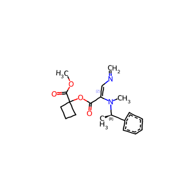 C=N/C=C(/C(=O)OC1(C(=O)OC)CCC1)N(C)[C@H](C)c1ccccc1